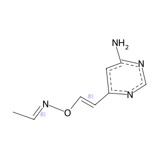 C/C=N/O/C=C/c1cc(N)ncn1